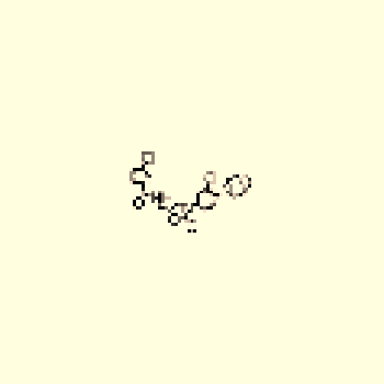 O=C(NCC1CN(c2ccc(N3CCOCC3)c(Cl)c2)C(=O)O1)c1ccc(Cl)s1